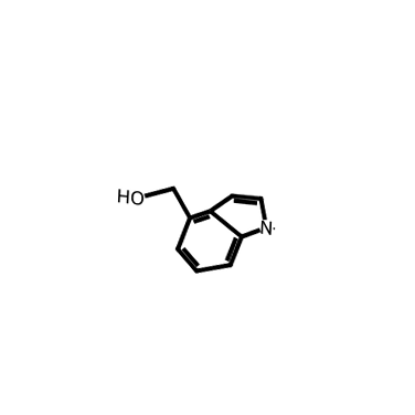 OCc1cccc2c1C=C[N]2